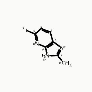 Cc1nc2ccc(I)nc2[nH]1